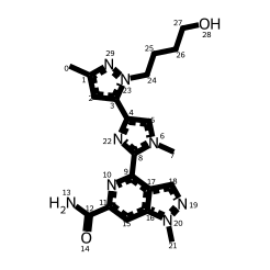 Cc1cc(-c2cn(C)c(-c3nc(C(N)=O)cc4c3cnn4C)n2)n(CCCCO)n1